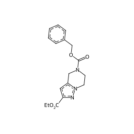 CCOC(=O)c1cc2n(n1)CCN(C(=O)OCc1ccccc1)C2